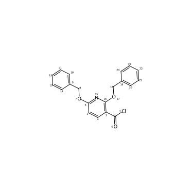 O=C(Cl)c1ccc(OCc2ccccc2)nc1OCc1ccccc1